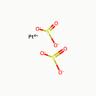 O=S([O-])[O-].O=S([O-])[O-].[Pt+4]